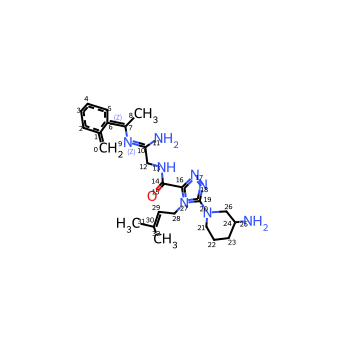 C=c1cccc/c1=C(C)/N=C(\N)CNC(=O)c1nnc(N2CCCC(N)C2)n1CC=C(C)C